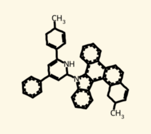 CC1C=CC(C2=CC(c3ccccc3)=CC(n3c4ccccc4c4c5c6c(ccc5c5ccccc5c43)C=CC(C)C6)N2)=CC1